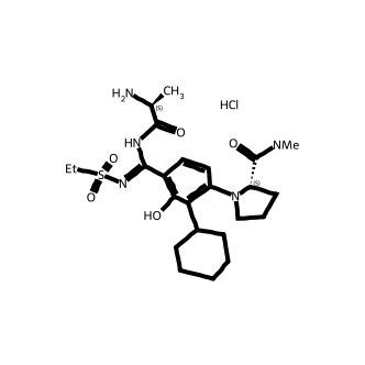 CCS(=O)(=O)N=C(NC(=O)[C@H](C)N)c1ccc(N2CCC[C@H]2C(=O)NC)c(C2CCCCC2)c1O.Cl